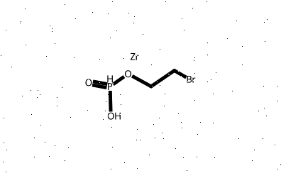 O=[PH](O)OCCBr.[Zr]